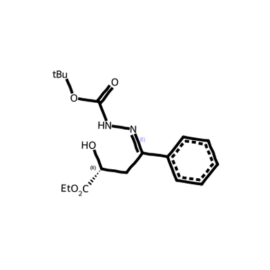 CCOC(=O)[C@H](O)C/C(=N\NC(=O)OC(C)(C)C)c1ccccc1